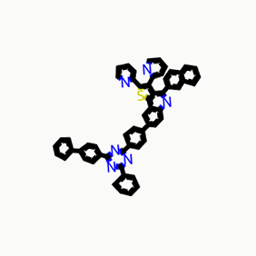 c1ccc(-c2ccc(-c3nc(-c4ccccc4)nc(-c4ccc(-c5ccc6nc(-c7ccc8ccccc8c7)c7c(-c8ccccn8)c(-c8ccccn8)sc7c6c5)cc4)n3)cc2)cc1